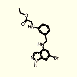 CCOC(=O)CNc1cccc(CNc2cc(Br)cc3[nH]ncc23)c1